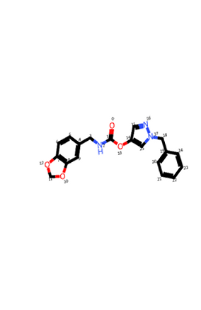 O=C(NCc1ccc2c(c1)OCO2)Oc1cnn(Cc2ccccc2)c1